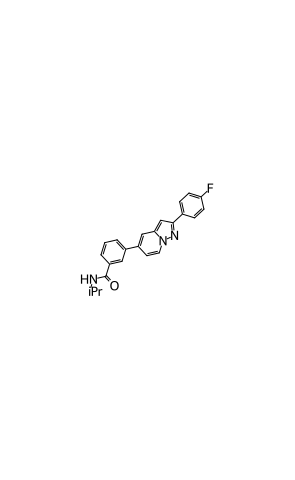 CC(C)NC(=O)c1cccc(-c2ccn3nc(-c4ccc(F)cc4)cc3c2)c1